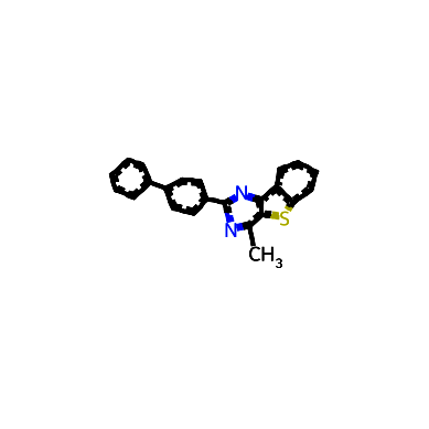 Cc1nc(-c2ccc(-c3ccccc3)cc2)nc2c1sc1ccccc12